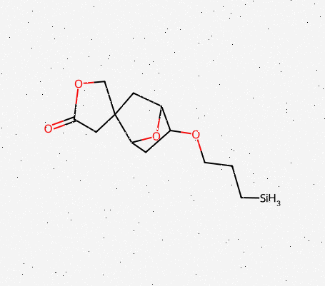 O=C1CC2(CO1)CC1OC2CC1OCCC[SiH3]